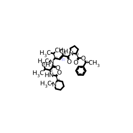 C/C(=C\[C@H](C(C)C)N(C)C(=O)[C@@H](NC(=O)[C@H]1CCCCN1C)C(C)C)C(=O)N1CCC[C@H]1C(=O)O[C@@H](C)c1ccccc1